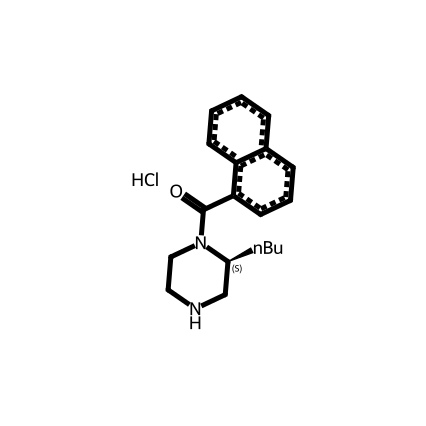 CCCC[C@H]1CNCCN1C(=O)c1cccc2ccccc12.Cl